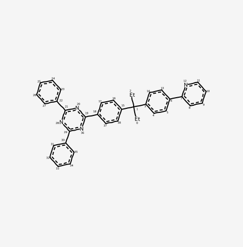 CCC(CC)(c1ccc(-c2ccccn2)cc1)c1ccc(-c2nc(-c3ccccc3)nc(-c3ccccc3)n2)cc1